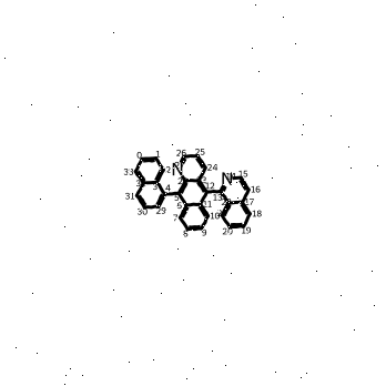 c1ccc2c(-c3c4ccccc4c(-c4nccc5ccccc45)c4cccnc34)cccc2c1